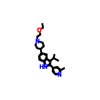 CCOCCN1CCC(c2ccc3[nH]c(-c4ccnc(C)c4)c(C(C)C)c3c2)CC1